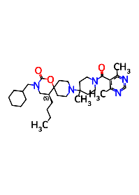 CCCC[C@H]1CN(CC2CCCCC2)C(=O)OC12CCN(C1(C)CCN(C(=O)c3c(C)ncnc3C)CC1)CC2